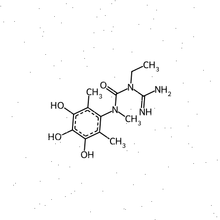 CCN(C(=N)N)C(=O)N(C)c1c(C)c(O)c(O)c(O)c1C